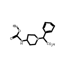 CC(C)(C)OC(=O)NC1CCN(C(C(=O)O)c2ccccc2)CC1